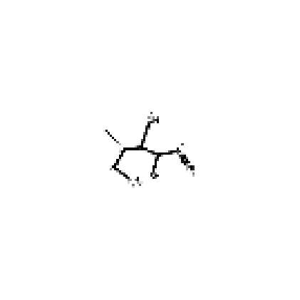 C[C@@H](CN)C(O)C(S)N=N